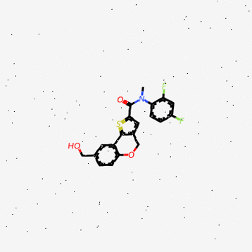 CN(C(=O)c1cc2c(s1)-c1cc(CO)ccc1OC2)c1ccc(F)cc1F